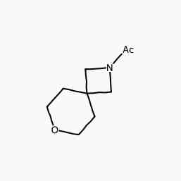 CC(=O)N1CC2(CCOCC2)C1